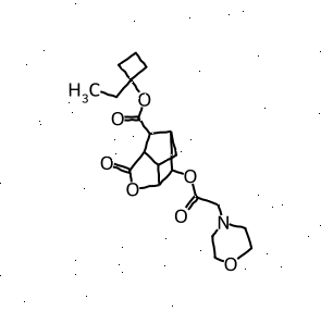 CCC1(OC(=O)C2C3CC4C(OC(=O)C42)C3OC(=O)CN2CCOCC2)CCC1